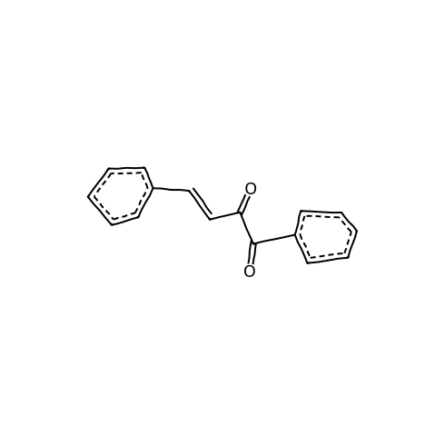 O=C(C=Cc1ccccc1)C(=O)c1ccccc1